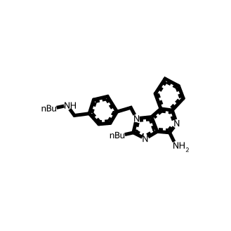 CCCCNCc1ccc(Cn2c(CCCC)nc3c(N)nc4ccccc4c32)cc1